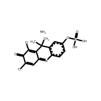 CC1(C)C2=C(Cl)C(=O)C(Cl)=CC2=Nc2ccc(OP(=O)(O)O)cc21.N